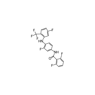 O=C(Nc1ccc(Nc2cc(F)ccc2C(F)(F)F)c(F)c1)c1c(F)cccc1F